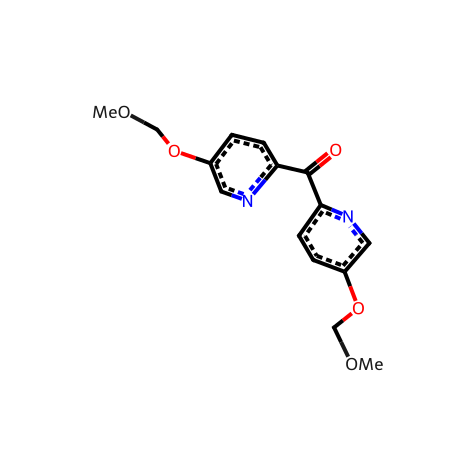 COCOc1ccc(C(=O)c2ccc(OCOC)cn2)nc1